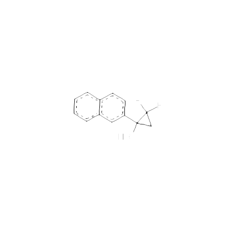 CC1(c2ccc3ccccc3c2)CC1(F)F